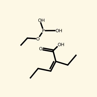 CCC=C(CC)C(=O)O.CCOP(O)O